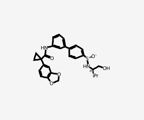 CC(C)[C@H](CO)N[S+]([O-])c1ccc(-c2cccc(NC(=O)C3(c4ccc5c(c4)OCO5)CC3)c2)cc1